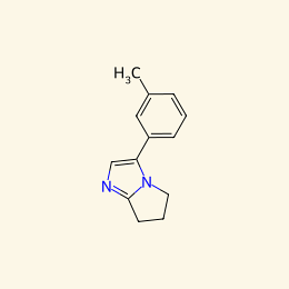 Cc1cccc(-c2cnc3n2CCC3)c1